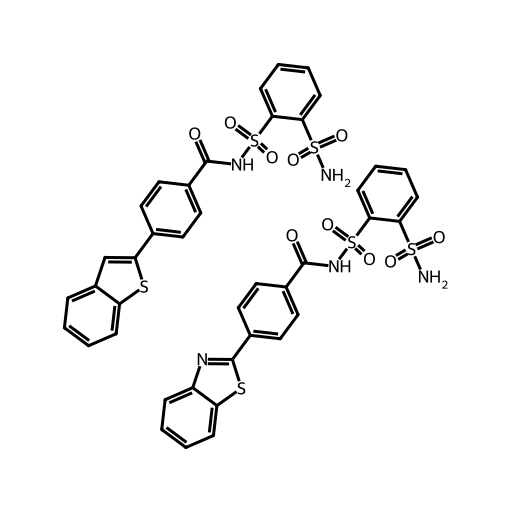 NS(=O)(=O)c1ccccc1S(=O)(=O)NC(=O)c1ccc(-c2cc3ccccc3s2)cc1.NS(=O)(=O)c1ccccc1S(=O)(=O)NC(=O)c1ccc(-c2nc3ccccc3s2)cc1